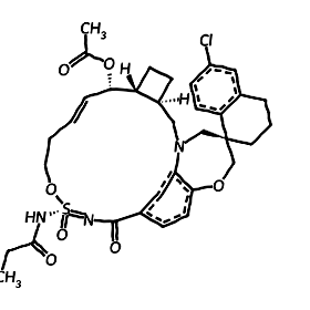 CCC(=O)N[S@@]1(=O)=NC(=O)c2ccc3c(c2)N(C[C@@H]2CC[C@H]2[C@@H](OC(C)=O)/C=C/CCO1)C[C@@]1(CCCc2cc(Cl)ccc21)CO3